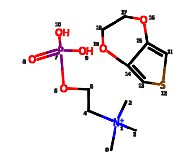 C[N+](C)(C)CCOP(=O)(O)O.c1scc2c1OCCO2